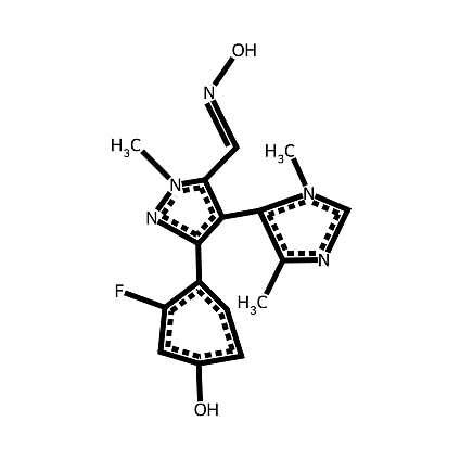 Cc1ncn(C)c1-c1c(-c2ccc(O)cc2F)nn(C)c1/C=N/O